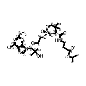 CC(C)OC(=O)CCNC(=O)[C@@H]1OP(=O)(OCCO[C@@H](n2cnc3c(Cl)nc(N)nc32)C(C)(C)O)OCC1(C)C